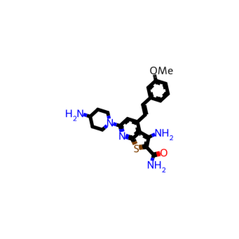 COc1cccc(/C=C/c2cc(N3CCC(N)CC3)nc3sc(C(N)=O)c(N)c23)c1